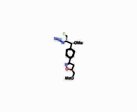 COC[C@@H]1CC(c2ccc([C@@H](OC)[C@@H](CF)N=[N+]=[N-])cc2)=NO1